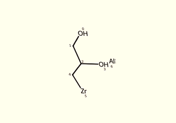 OCC(O)[CH2][Zr].[Al]